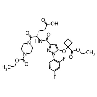 CCOC(=O)N1CCN(C(=O)[C@H](CCC(=O)O)NC(=O)c2cc(OC3(C(=O)OCC)CCC3)n(-c3ccc(F)cc3F)n2)CC1